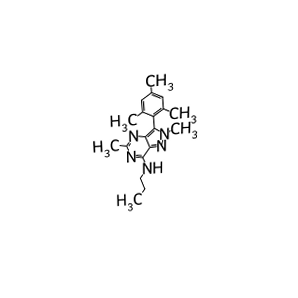 CCCNc1nc(C)nc2c(-c3c(C)cc(C)cc3C)n(C)nc12